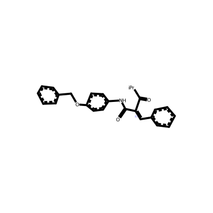 CC(C)C(=O)/C(=C\c1ccccc1)C(=O)Nc1ccc(OCc2ccccc2)cc1